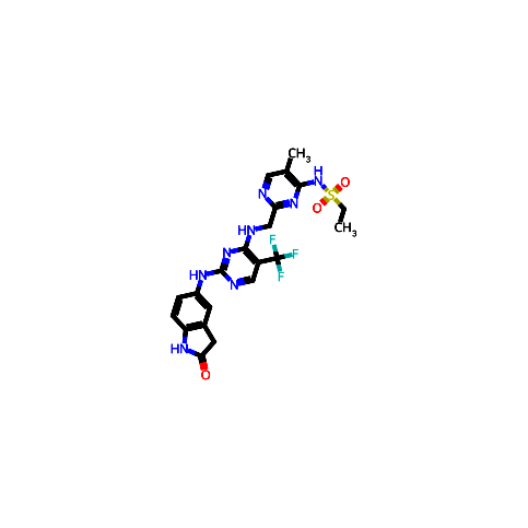 CCS(=O)(=O)Nc1nc(CNc2nc(Nc3ccc4c(c3)CC(=O)N4)ncc2C(F)(F)F)ncc1C